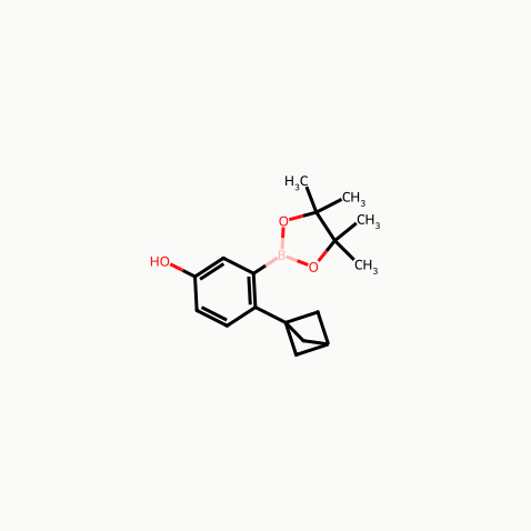 CC1(C)OB(c2cc(O)ccc2C23CC(C2)C3)OC1(C)C